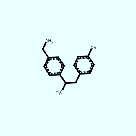 CC(Cc1ccc(O)cc1)c1ccc(CN)cc1